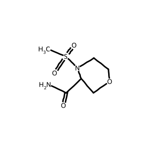 CS(=O)(=O)N1CCOCC1C(N)=O